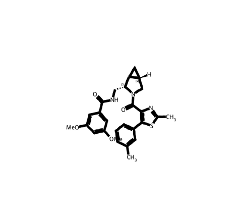 COc1cc(OC)cc(C(=O)NC[C@@H]2C3C[C@@H]3CN2C(=O)c2nc(C)sc2-c2cccc(C)c2)c1